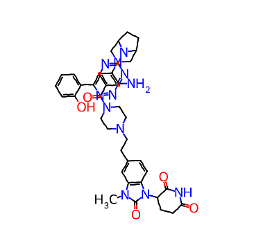 Cn1c(=O)n(C2CCC(=O)NC2=O)c2ccc(CCN3CCN(C(=O)c4cnc(N5C6CCC5CN(c5cc(-c7ccccc7O)nnc5N)C6)nc4)CC3)cc21